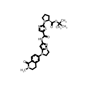 CN1CCc2cc(N3CCn4nc(NC(=O)c5cnc(N6CCC[C@H]6C(=O)OC(C)(C)C)s5)cc43)ccc2C1=O